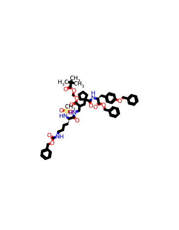 CC(C)(C)C(=O)OCOC(=O)C(CNC(=O)[C@H](CCCCNC(=O)OCc1ccccc1)NS(C)(=O)=O)CC1(C(=O)N[C@@H](Cc2ccc(OCc3ccccc3)cc2)C(=O)OCc2ccccc2)CCCC1